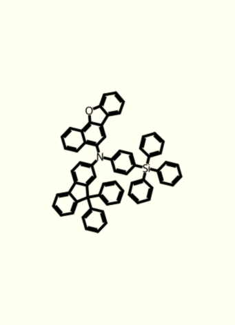 c1ccc(C2(c3ccccc3)c3ccccc3-c3ccc(N(c4ccc([Si](c5ccccc5)(c5ccccc5)c5ccccc5)cc4)c4cc5c6ccccc6oc5c5ccccc45)cc32)cc1